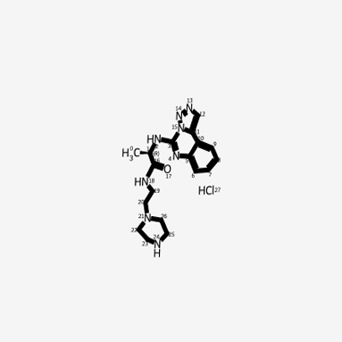 C[C@@H](Nc1nc2ccccc2c2cnnn12)C(=O)NCCN1CCNCC1.Cl